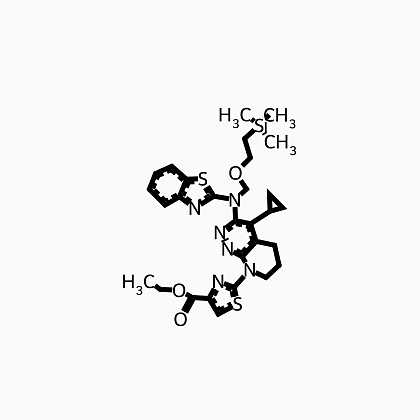 CCOC(=O)c1csc(N2CCCc3c2nnc(N(COCC[Si](C)(C)C)c2nc4ccccc4s2)c3C2CC2)n1